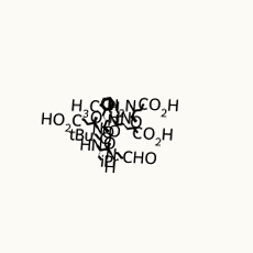 Cc1ccccc1C[C@H](NC(=O)[C@H](CCC(=O)O)NC(=O)[C@@H](N)CC(=O)O)C(=O)N(C(=O)CCC(=O)O)[C@H](C(=O)N[C@@H](CC(C)C)C(=O)NCCC=O)C(C)(C)C